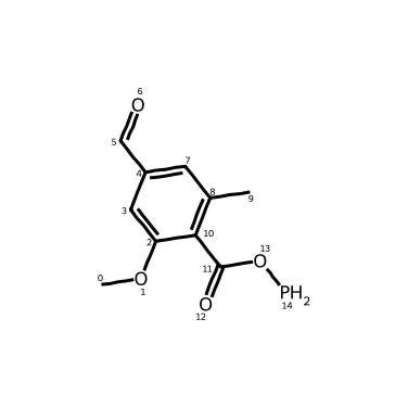 COc1cc(C=O)cc(C)c1C(=O)OP